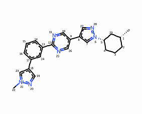 C[C@@H]1CCC[C@H](n2cc(-c3cnc(-c4cccc(-c5cnn(C)c5)c4)nc3)cn2)C1